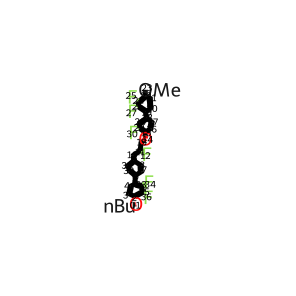 CCCCOc1ccc(-c2ccc(CC(F)COc3ccc(-c4ccc(OC)c(F)c4F)cc3F)cc2)c(F)c1F